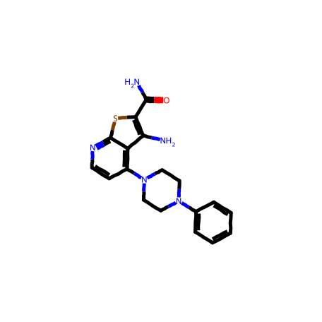 NC(=O)c1sc2nccc(N3CCN(c4ccccc4)CC3)c2c1N